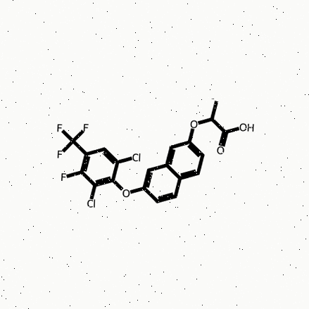 CC(Oc1ccc2ccc(Oc3c(Cl)cc(C(F)(F)F)c(F)c3Cl)cc2c1)C(=O)O